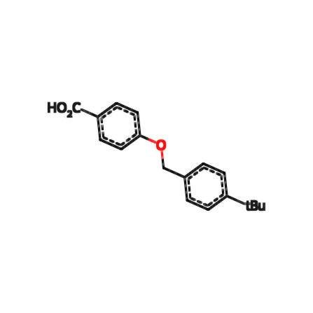 CC(C)(C)c1ccc(COc2ccc(C(=O)O)cc2)cc1